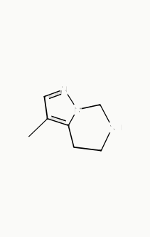 Cc1cnn2c1CCNC2